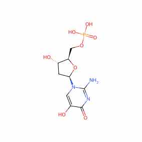 Nc1nc(=O)c(O)cn1[C@H]1C[C@H](O)[C@@H](COP(=O)(O)O)O1